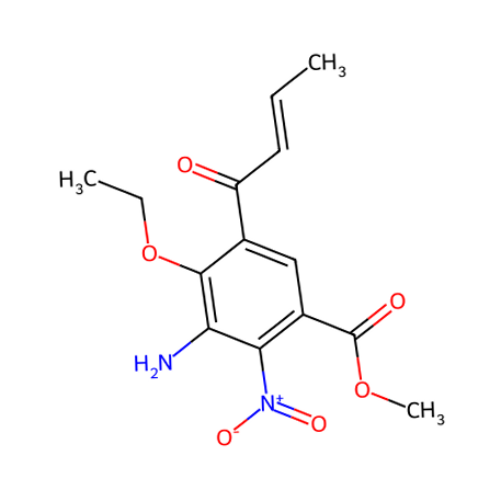 C/C=C/C(=O)c1cc(C(=O)OC)c([N+](=O)[O-])c(N)c1OCC